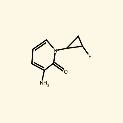 Nc1cccn(C2CC2F)c1=O